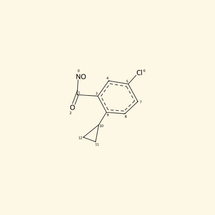 O=NC(=O)c1cc(Cl)ccc1C1CC1